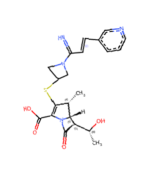 C[C@@H](O)[C@H]1C(=O)N2C(C(=O)O)=C(SC3CN(C(=N)/C=C/c4cccnc4)C3)[C@H](C)[C@H]12